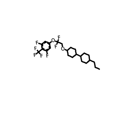 CCCC1CCC(C2CCC(OCC(F)(F)Oc3cc(F)c(C(F)(F)F)c(F)c3)CC2)CC1